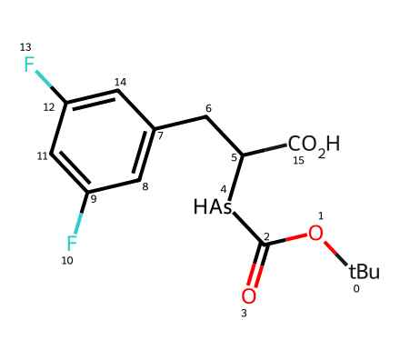 CC(C)(C)OC(=O)[AsH]C(Cc1cc(F)cc(F)c1)C(=O)O